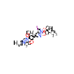 COc1cc(-c2cnc3c(c2)c(I)cn3C(=O)OC(C)(C)C)cc(OC)c1N1CCN(C)CC1